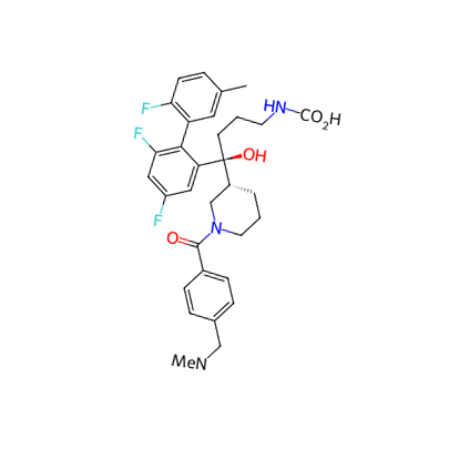 CNCc1ccc(C(=O)N2CCC[C@@H]([C@@](O)(CCCNC(=O)O)c3cc(F)cc(F)c3-c3cc(C)ccc3F)C2)cc1